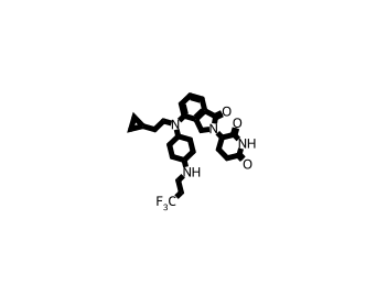 O=C1CCC(N2Cc3c(cccc3N(CCC3CC3)C3CCC(NCCC(F)(F)F)CC3)C2=O)C(=O)N1